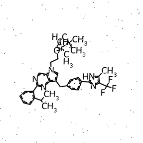 Cc1[nH]c(-c2ccc(Cc3cn(CCO[Si](C)(C)C(C)(C)C)c4cnc(-c5ccccc5C(C)C)nc34)cc2)nc1C(F)(F)F